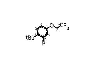 CC(C)(C)c1ccc(OCC(F)(F)F)cc1F